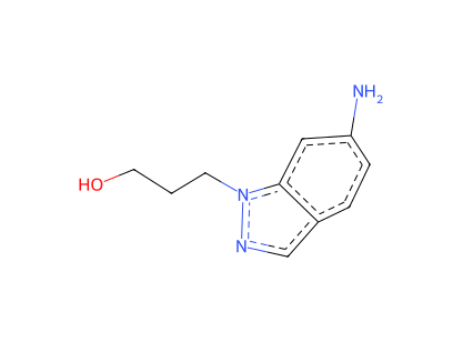 Nc1ccc2cnn(CCCO)c2c1